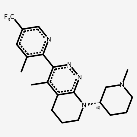 Cc1cc(C(F)(F)F)cnc1-c1nnc2c(c1C)CCCN2[C@H]1CCCN(C)C1